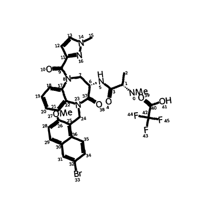 CN[C@@H](C)C(=O)N[C@H]1CN(C(=O)c2ccn(C)n2)c2ccccc2N(Cc2c(OC)ccc3cc(Br)ccc23)C1=O.O=C(O)C(F)(F)F